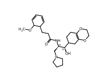 COC1C=CC=CC1CCC(=O)N[C@H](CN1CCCC1)[C@H](O)C1CCC2=C(C1)OCCO2